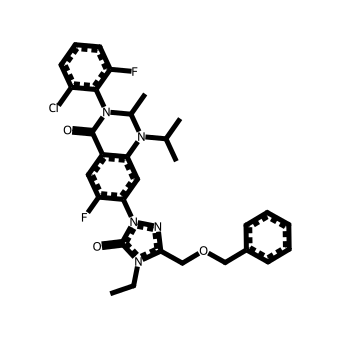 CCn1c(COCc2ccccc2)nn(-c2cc3c(cc2F)C(=O)N(c2c(F)cccc2Cl)C(C)N3C(C)C)c1=O